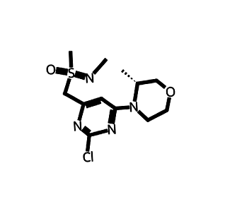 CN=S(C)(=O)Cc1cc(N2CCOC[C@H]2C)nc(Cl)n1